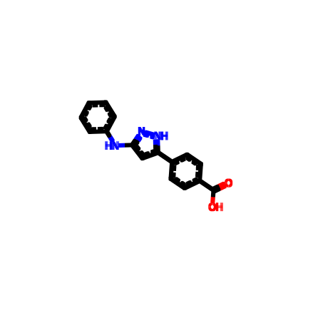 O=C(O)c1ccc(-c2cc(Nc3ccccc3)n[nH]2)cc1